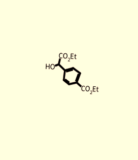 CCOC(=O)c1ccc(C(O)C(=O)OCC)cc1